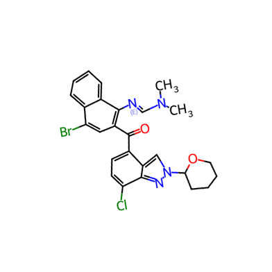 CN(C)/C=N/c1c(C(=O)c2ccc(Cl)c3nn(C4CCCCO4)cc23)cc(Br)c2ccccc12